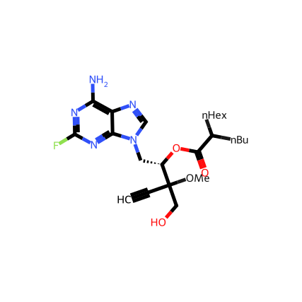 C#CC(CO)(OC)[C@H](Cn1cnc2c(N)nc(F)nc21)OC(=O)C(CCCC)CCCCCC